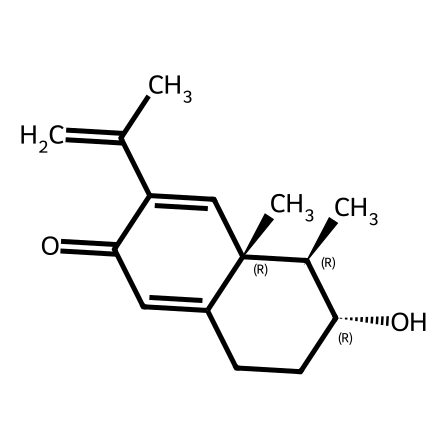 C=C(C)C1=C[C@@]2(C)C(=CC1=O)CC[C@@H](O)[C@@H]2C